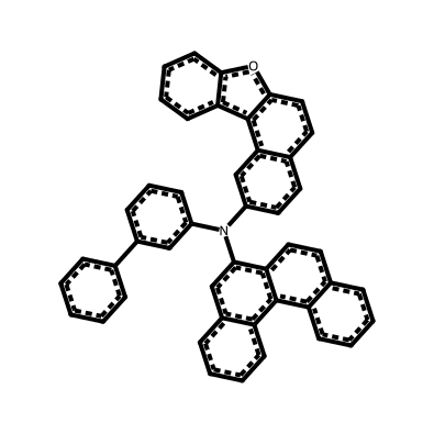 c1ccc(-c2cccc(N(c3ccc4ccc5oc6ccccc6c5c4c3)c3cc4ccccc4c4c3ccc3ccccc34)c2)cc1